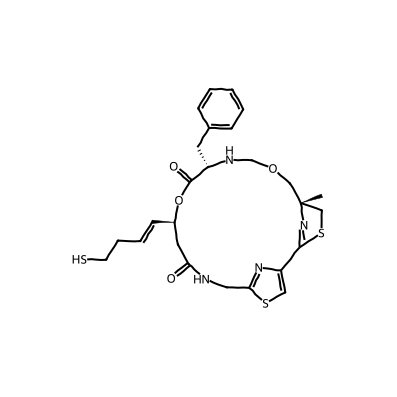 C[C@]12COCN[C@@H](Cc3ccccc3)C(=O)O[C@H](/C=C/CCS)CC(=O)NCc3nc(cs3)C(=N1)SC2